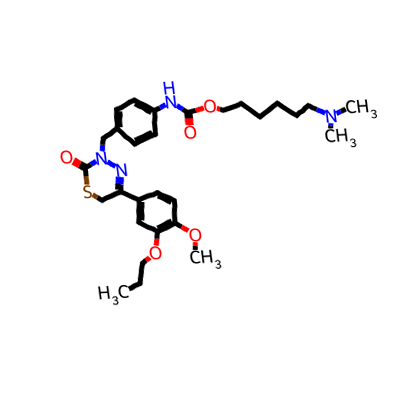 CCCOc1cc(C2=NN(Cc3ccc(NC(=O)OCCCCCCN(C)C)cc3)C(=O)SC2)ccc1OC